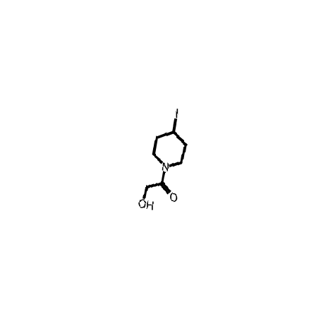 O=C(CO)N1CCC(I)CC1